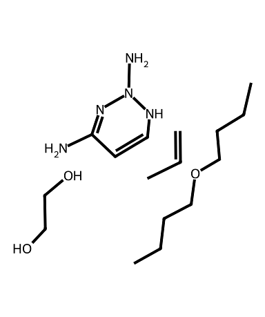 C=CC.CCCCOCCCC.NC1=NN(N)NC=C1.OCCO